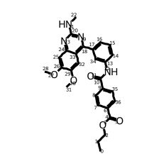 CCCOC(=O)c1ccc(C(=O)Nc2cccc(-c3nc(NC)nc4cc(OC)c(OC)cc34)c2)cc1